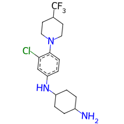 NC1CCC(Nc2ccc(N3CCC(C(F)(F)F)CC3)c(Cl)c2)CC1